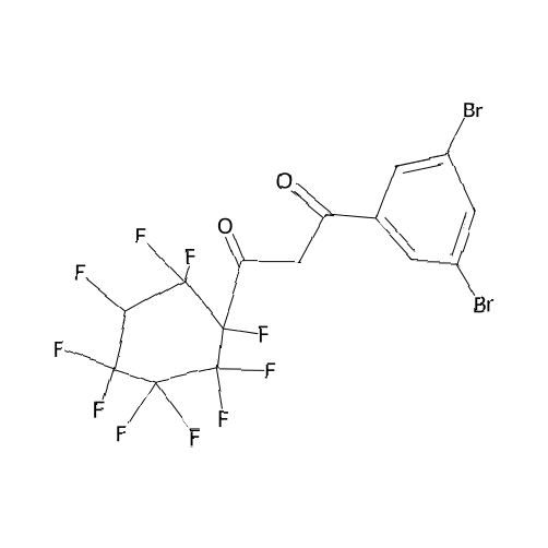 O=C(CC(=O)C1(F)C(F)(F)C(F)C(F)(F)C(F)(F)C1(F)F)c1cc(Br)cc(Br)c1